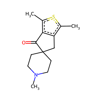 Cc1sc(C)c2c1CC1(CCN(C)CC1)C2=O